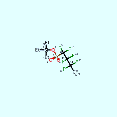 CC[Si](CC)(CC)OS(=O)(=O)C(F)(F)C(F)(F)C(F)(F)C(F)(F)F